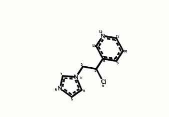 ClC(Cn1ccnc1)c1cccnc1